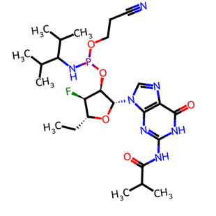 CC[C@H]1O[C@@H](n2cnc3c(=O)[nH]c(NC(=O)C(C)C)nc32)[C@H](OP(NC(C(C)C)C(C)C)OCCC#N)[C@@H]1F